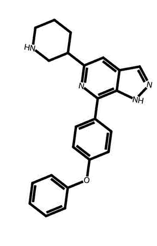 c1ccc(Oc2ccc(-c3nc(C4CCCNC4)cc4cn[nH]c34)cc2)cc1